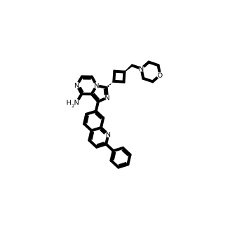 Nc1nccn2c1c(-c1ccc3ccc(-c4ccccc4)nc3c1)nc2[C@H]1C[C@H](CN2CCOCC2)C1